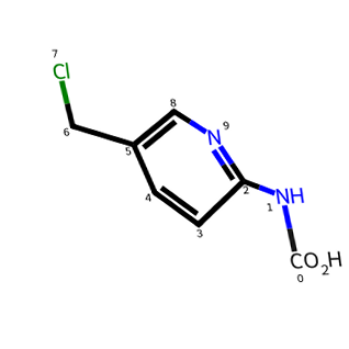 O=C(O)Nc1ccc(CCl)cn1